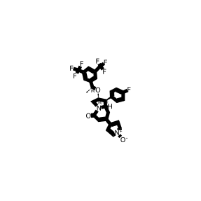 C[C@@H](O[C@H]1CN2C(=O)C=C(c3cc[n+]([O-])cc3)C[C@H]2[C@@H]1c1ccc(F)cc1)c1cc(C(F)(F)F)cc(C(F)(F)F)c1